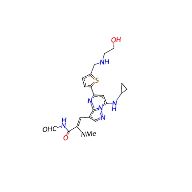 CN/C(=C\c1cnn2c(NC3CC3)cc(-c3ccc(CNCCO)s3)nc12)C(=O)NC=O